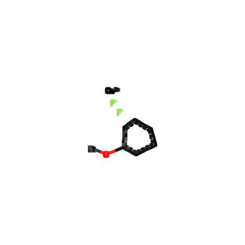 CCOc1ccccc1.[F-].[F-].[Os+2]